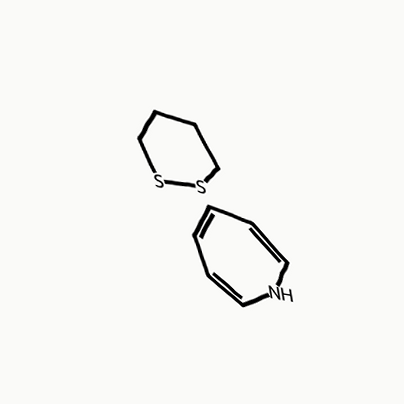 C1=CC=CNC=C1.C1CCSSC1